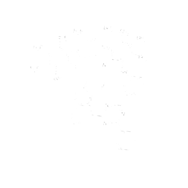 Bc1c(B)c(B)c2c(sc3c2c(B)c(B)c2c4c(B)c(B)c(B)c(B)c4n(-c4ccc5c(c4)oc4cccc(-c6nc(-c7ccccc7)nc(-c7ccccc7)n6)c45)c32)c1B